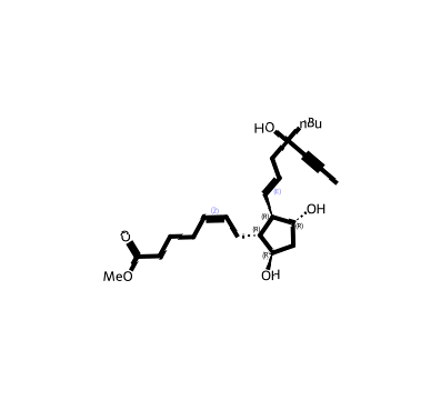 CC#CC(O)(C/C=C/[C@@H]1[C@@H](C/C=C\CCCC(=O)OC)[C@H](O)C[C@H]1O)CCCC